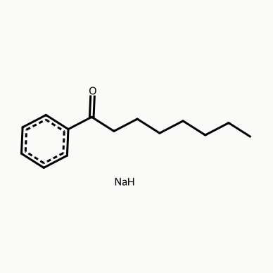 CCCCCCCC(=O)c1ccccc1.[NaH]